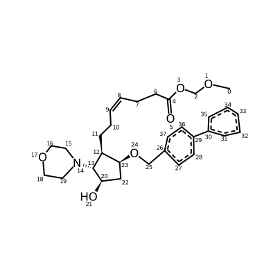 COCOC(=O)CC/C=C\CC[C@@H]1[C@@H](N2CCOCC2)[C@H](O)C[C@@H]1OCc1ccc(-c2ccccc2)cc1